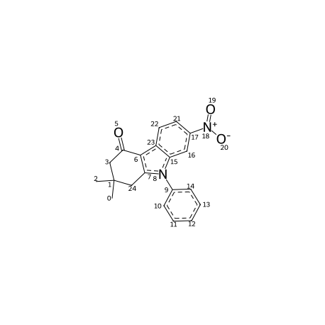 CC1(C)CC(=O)c2c(n(-c3ccccc3)c3cc([N+](=O)[O-])ccc23)C1